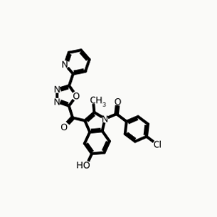 Cc1c(C(=O)c2nnc(-c3ccccn3)o2)c2cc(O)ccc2n1C(=O)c1ccc(Cl)cc1